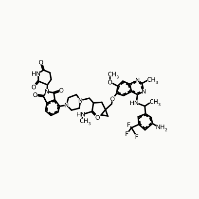 CNC(=O)C(CN1CCN(c2cccc3c2C(=O)N(C2CCC(=O)NC2=O)C3=O)CC1)CC1(COc2cc3c(NC(C)c4cc(N)cc(C(F)(F)F)c4)nc(C)nc3cc2OC)CC1